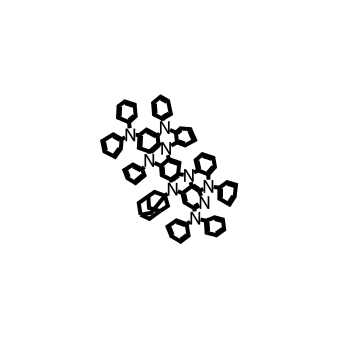 c1ccc(N(c2ccccc2)c2cc3c4c(c2)n(-c2ccccc2)c2cc5c(cc2n4c2ccccc2n3-c2ccccc2)n2c3ccccc3n(-c3ccccc3)c3nc(N(c4ccccc4)c4ccccc4)cc(c32)n5C23CC4CC(CC(C4)C2)C3)cc1